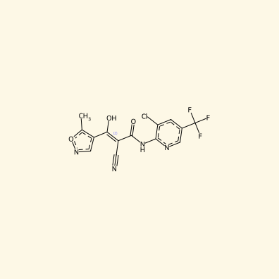 Cc1oncc1/C(O)=C(\C#N)C(=O)Nc1ncc(C(F)(F)F)cc1Cl